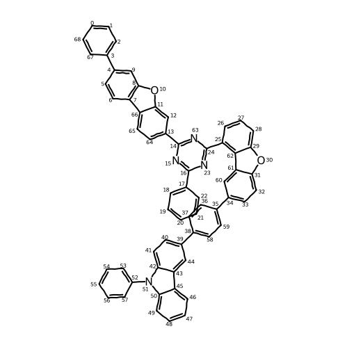 c1ccc(-c2ccc3c(c2)oc2cc(-c4nc(-c5ccccc5)nc(-c5cccc6oc7ccc(-c8ccc(-c9ccc%10c(c9)c9ccccc9n%10-c9ccccc9)cc8)cc7c56)n4)ccc23)cc1